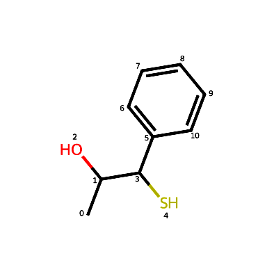 CC(O)C(S)c1ccccc1